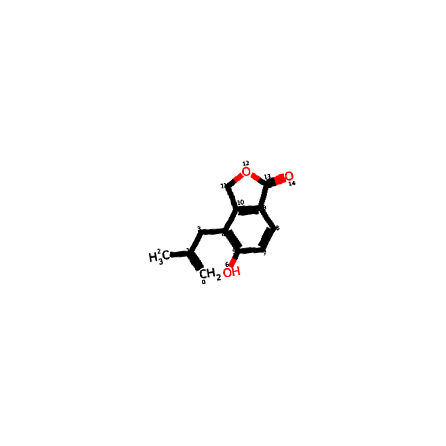 C=C(C)Cc1c(O)ccc2c1COC2=O